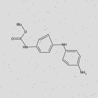 CC(C)(C)OC(=O)Nc1ccc(Nc2ccc(N)cc2)cc1